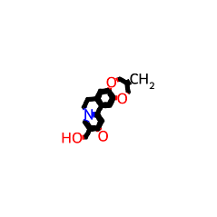 C=C1COc2cc3c(cc2OC1)-c1cc(=O)c(CO)cn1CC3